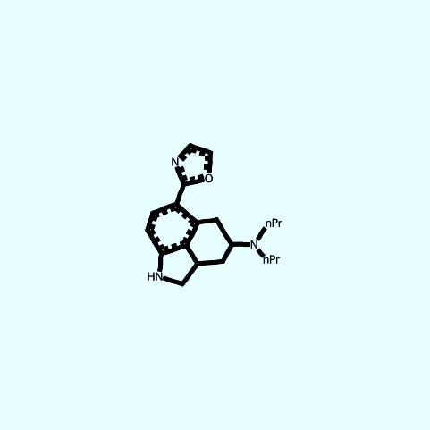 CCCN(CCC)C1Cc2c(-c3ncco3)ccc3c2C(CN3)C1